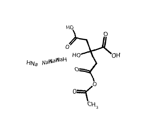 CC(=O)OC(=O)CC(O)(CC(=O)O)C(=O)O.[NaH].[NaH].[NaH].[NaH]